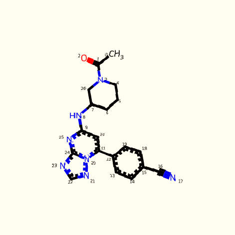 CC(=O)N1CCCC(Nc2cc(-c3ccc(C#N)cc3)n3ncnc3n2)C1